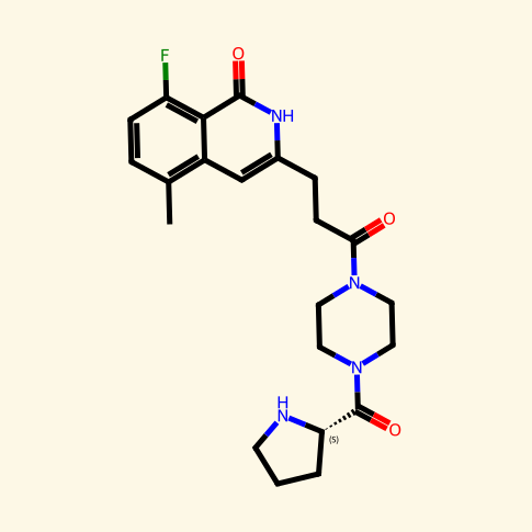 Cc1ccc(F)c2c(=O)[nH]c(CCC(=O)N3CCN(C(=O)[C@@H]4CCCN4)CC3)cc12